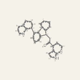 O=C(CC1c2ccccc2-c2c(-c3cccc4cccnc34)cccc21)c1ccnc2[nH]ccc12